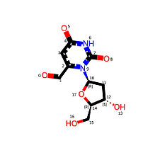 O=Cc1cc(=O)[nH]c(=O)n1[C@H]1C[C@H](O)[C@@H](CO)O1